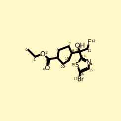 CCOC(=O)C1CCC(C(O)(CF)c2ncc(Br)s2)CC1